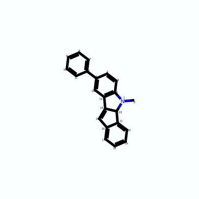 CN1c2ccc(-c3ccccc3)cc2C2=Cc3ccccc3C21